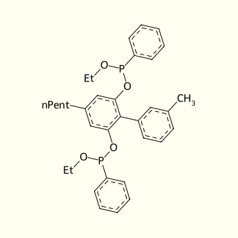 CCCCCc1cc(OP(OCC)c2ccccc2)c(-c2cccc(C)c2)c(OP(OCC)c2ccccc2)c1